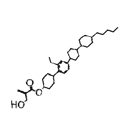 C=C(CO)C(=O)OC1CCC(c2ccc(C3CCC(C4CCC(CCCCC)CC4)CC3)cc2CC)CC1